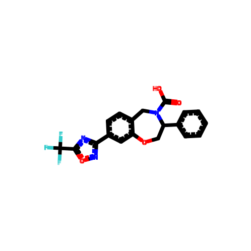 O=C(O)N1Cc2ccc(-c3noc(C(F)(F)F)n3)cc2OCC1c1ccccc1